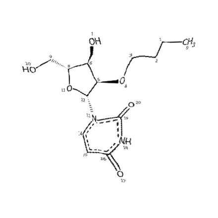 CCCCO[C@@H]1[C@H](O)[C@@H](CO)O[C@H]1n1ccc(=O)[nH]c1=O